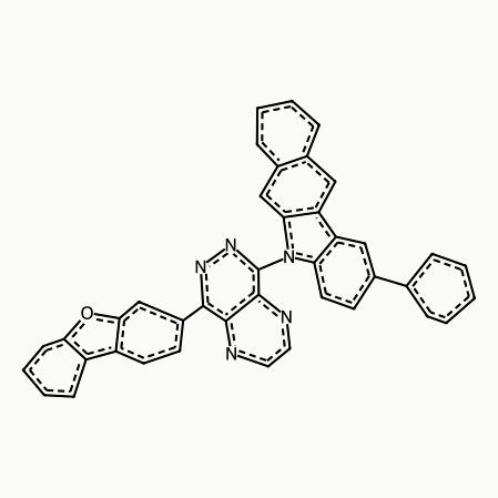 c1ccc(-c2ccc3c(c2)c2cc4ccccc4cc2n3-c2nnc(-c3ccc4c(c3)oc3ccccc34)c3nccnc23)cc1